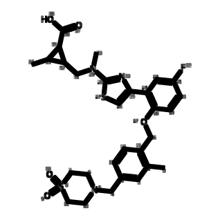 Cc1cc(CN2CCS(=O)(=O)CC2)ccc1COc1ccc(F)cc1-c1csc(N(C)CC2C(C)C2C(=O)O)n1